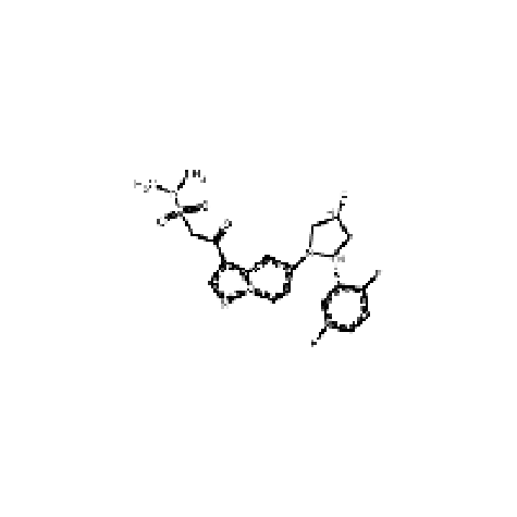 CN(C)S(=O)(=O)CC(=O)c1cnn2ccc(N3C[C@@H](F)C[C@@H]3c3cc(F)ccc3F)cc12